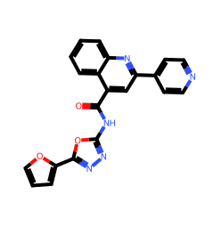 O=C(Nc1nnc(-c2ccco2)o1)c1cc(-c2ccncc2)nc2ccccc12